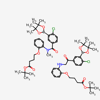 CC(C)(C)OC(=O)CCCOc1ccccc1NCC(=O)c1ccc(Cl)c(B2OC(C)(C)C(C)(C)O2)c1.CN(C(=O)c1ccc(Cl)c(B2OC(C)(C)C(C)(C)O2)c1)c1ccccc1OCCCC(=O)OC(C)(C)C